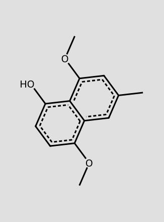 COc1ccc(O)c2c(OC)cc(C)cc12